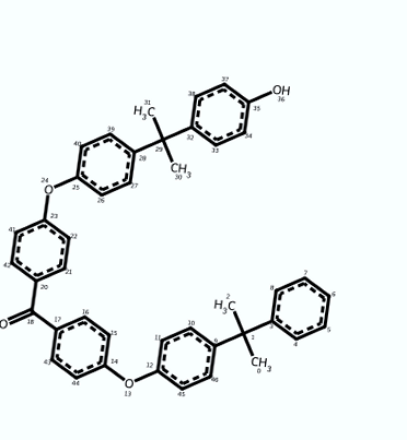 CC(C)(c1ccccc1)c1ccc(Oc2ccc(C(=O)c3ccc(Oc4ccc(C(C)(C)c5ccc(O)cc5)cc4)cc3)cc2)cc1